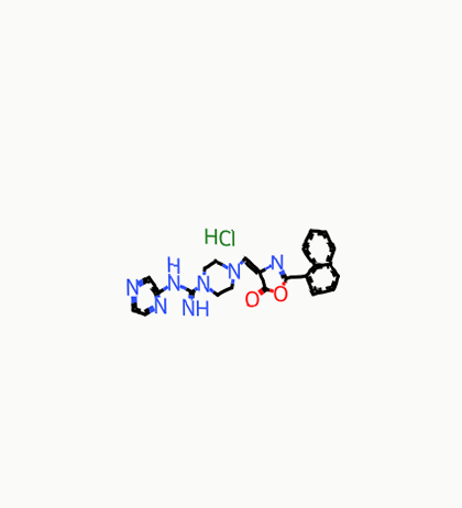 Cl.N=C(Nc1cnccn1)N1CCN(/C=C2/N=C(c3cccc4ccccc34)OC2=O)CC1